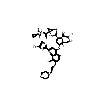 CC[C@@H]1C[C@]1(NC(=O)[C@@H]1C[C@@H](Oc2cc(-c3nc(C(C)C)cs3)nc3c(Cl)c(OCCN4CCOCC4)ccc23)[C@H]2CN[C@H]([C@@H](C)CC)C(=O)N21)C(=O)NS(=O)(=O)C1CC1